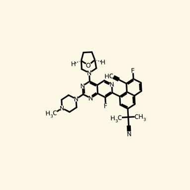 C#Cc1c(F)ccc2cc(C(C)(C)C#N)cc(-c3ncc4c(N5C[C@H]6CC[C@@H](C5)O6)nc(N5CCN(C)CC5)nc4c3F)c12